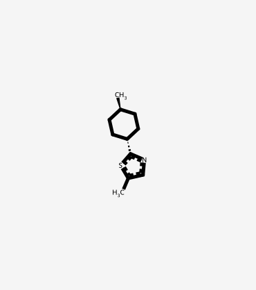 Cc1cnc([C@H]2CC[C@H](C)CC2)s1